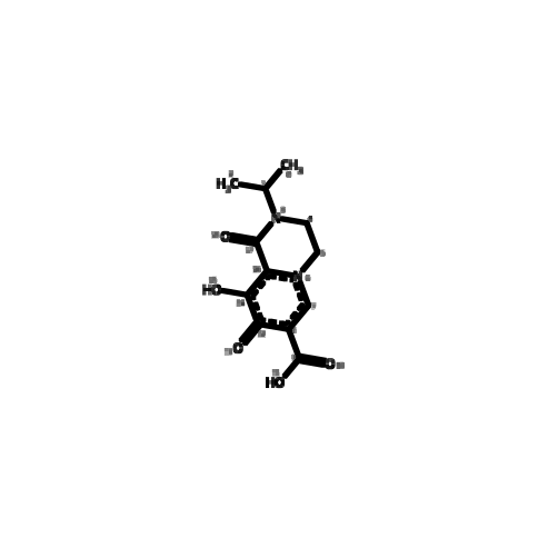 CC(C)N1CCn2cc(C(=O)O)c(=O)c(O)c2C1=O